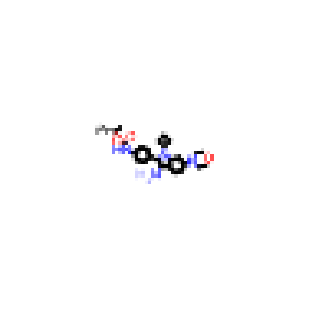 CC(C)[C@@H](C)OC(=O)Nc1ccc(-c2c(N)c3ccc(N4CCOCC4)cc3n2C2CCC2)cc1